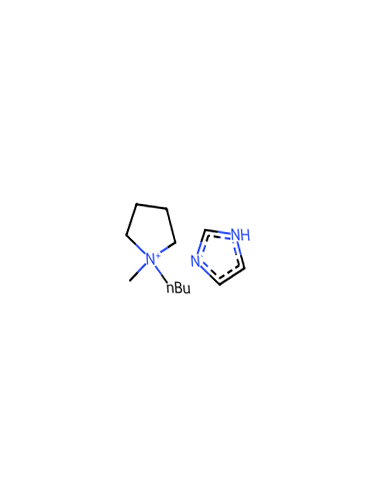 CCCC[N+]1(C)CCCC1.c1c[nH]cn1